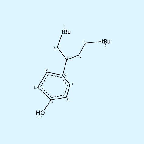 CC(C)(C)CCC(CC(C)(C)C)c1ccc(O)cc1